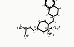 N[C@]1(C(=O)O)C[C@H](CCB(O)O)CCC1CN1CCc2ccccc2C1